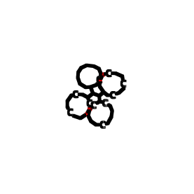 C1CCCCCC(C(C2CCCCCCCCCCC2)C(C2CCCCCCCCCCC2)C2CCCCCCCCCCC2)CCCCC1